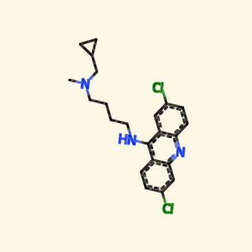 CN(CCCCNc1c2ccc(Cl)cc2nc2ccc(Cl)cc12)CC1CC1